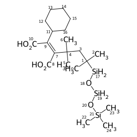 CC(C)(CC(C)(C)C(C(=O)O)=C(C(=O)O)C1CCCCC1)[SiH2]O[SiH2]O[Si](C)(C)C